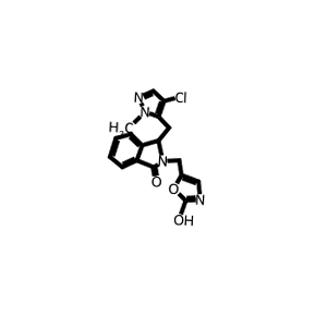 Cn1ncc(Cl)c1CC1c2ccccc2C(=O)N1Cc1cnc(O)o1